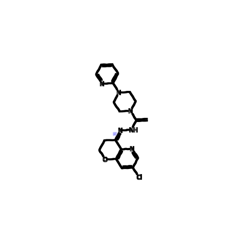 C=C(N/N=C1/CCOc2cc(Cl)cnc21)N1CCN(c2ccccn2)CC1